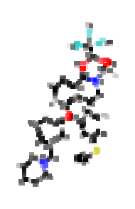 CSc1ccc(C2CN(C)C(OC(=O)C(F)(F)F)c3cccc(Oc4cccc(CN5CCCCC5)c4)c32)cc1